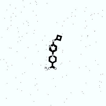 CC(=O)C1CCN(c2ccc(OC3CCC3)nc2)CC1